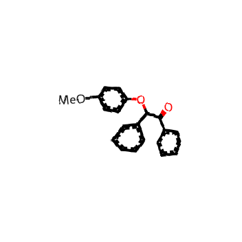 COc1ccc(OC(C(=O)c2ccccc2)c2ccccc2)cc1